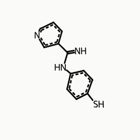 N=C(Nc1ccc(S)cc1)c1cccnc1